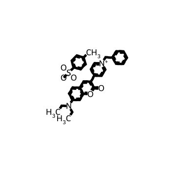 CCN(CC)c1ccc2cc(-c3cc[n+](Cc4ccccc4)cc3)c(=O)oc2c1.Cc1ccc(S(=O)(=O)[O-])cc1